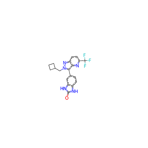 O=c1[nH]c2ccc(-c3c4nc(C(F)(F)F)ccc4nn3CC3CCC3)cc2[nH]1